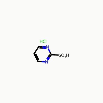 Cl.O=S(=O)(O)c1ncccn1